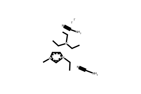 CC[S+](CC)CC.CCn1cc[n+](C)c1.N#CN.N#CN.[I-].[I-]